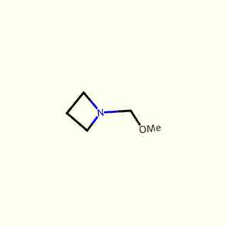 COCN1CCC1